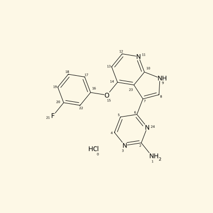 Cl.Nc1nccc(-c2c[nH]c3nccc(Oc4cccc(F)c4)c23)n1